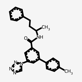 Cc1ccc(-c2cc(C(=O)NC(C)CCc3ccccc3)cc(-n3cnnn3)c2)cc1